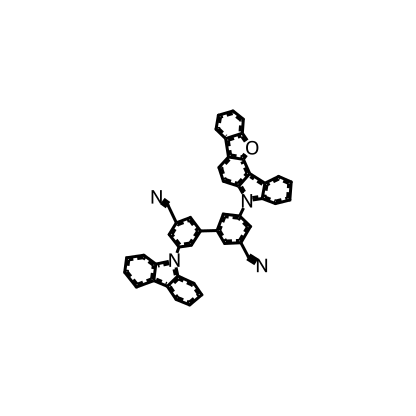 N#Cc1cc(-c2cc(C#N)cc(-n3c4ccccc4c4c5oc6ccccc6c5ccc43)c2)cc(-n2c3ccccc3c3ccccc32)c1